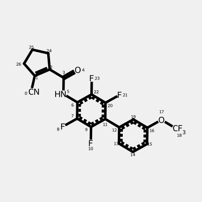 N#CC1=C(C(=O)Nc2c(F)c(F)c(-c3cccc(OC(F)(F)F)c3)c(F)c2F)CCC1